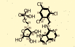 Clc1cc(Cl)c(CNc2ncnc3nc[nH]c23)c(Cl)c1.O=P(O)(O)OC[C@H]1OC(O)[C@H](O)[C@@H]1O